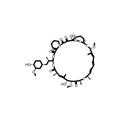 CO[C@H]1C[C@@H]2CC[C@@H](C)[C@@](O)(OC2)C(=O)C(=O)N2CCCC[C@H]2C(=O)O[C@H]([C@H](C)C[C@@H]2CC[C@@H](O)[C@H](OC)C2)CC(=O)[C@H](C)/C=C(\C)[C@@H](O)[C@@H](OC)C(=O)[C@H](C)C[C@H](C)/C=C/C=C/C=C/1C